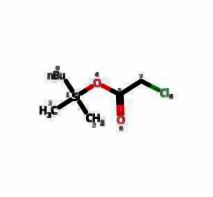 CCCC[Si](C)(C)OC(=O)CCl